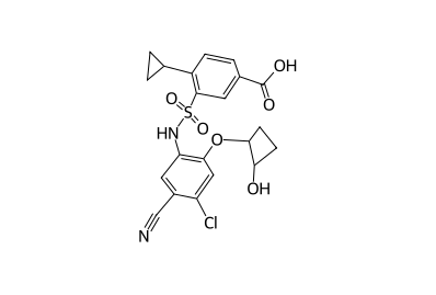 N#Cc1cc(NS(=O)(=O)c2cc(C(=O)O)ccc2C2CC2)c(OC2CCC2O)cc1Cl